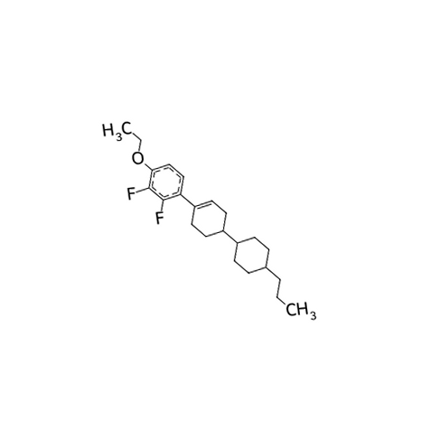 CCCC1CCC(C2CC=C(c3ccc(OCC)c(F)c3F)CC2)CC1